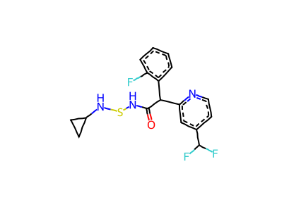 O=C(NSNC1CC1)C(c1cc(C(F)F)ccn1)c1ccccc1F